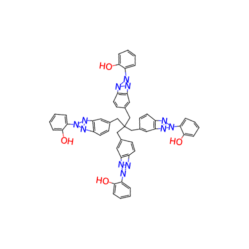 Oc1ccccc1-n1n2c3ccc(CC(Cc4ccc5c(c4)n4n(-c6ccccc6O)n54)(Cc4ccc5c(c4)n4n(-c6ccccc6O)n54)Cc4ccc5c(c4)n4n(-c6ccccc6O)n54)cc3n12